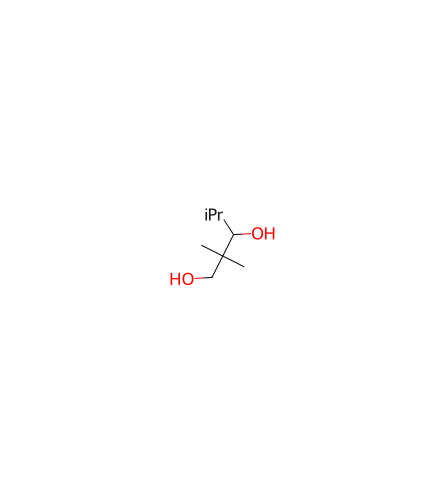 CC(C)C(O)C(C)(C)CO